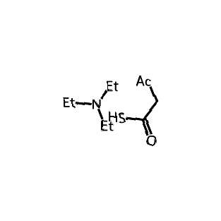 CC(=O)CC(=O)S.CCN(CC)CC